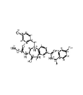 CC(NC(=O)c1ccc2c(c1)NC(=O)[C@@H](NC(=O)OC(C)(C)C)C[SH]2Cc1ccc(Cl)cc1)c1ccc(F)cc1